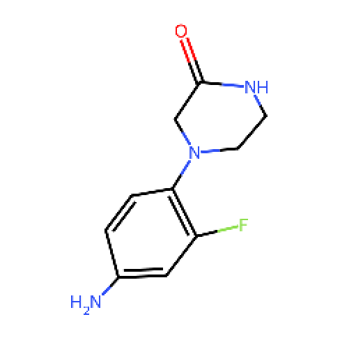 Nc1ccc(N2CCNC(=O)C2)c(F)c1